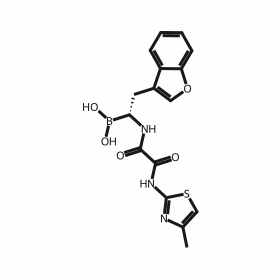 Cc1csc(NC(=O)C(=O)N[C@@H](Cc2coc3ccccc23)B(O)O)n1